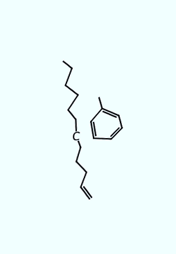 C=CCCCCCCCCCC.Cc1ccccc1